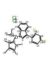 CC1=C(C)C(C)[C]([Zr+2]([CH]2C=C(c3ccc(F)cc3F)c3ccccc32)=[Si](C)C)=C1C.[Cl-].[Cl-]